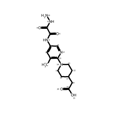 Cc1cc(NC(=O)C(=O)NN)cnc1N1CCC(CC(=O)O)CC1